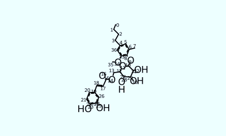 CCCCc1cc(C)c(O[C@@H]2OC(COC(=O)/C=C/c3ccc(O)c(O)c3)[C@@H](O)[C@H](O)C2O)c(OC)c1